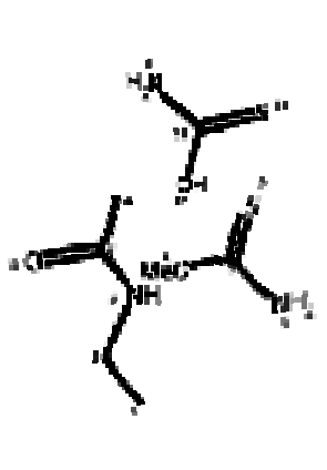 CCNC(C)=O.COC(N)=S.NC(O)=S